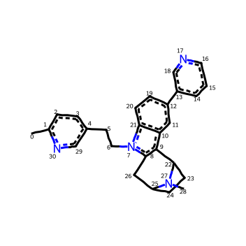 Cc1ccc(CCn2c3c(c4cc(-c5cccnc5)ccc42)C2CCC(C3)N2C)cn1